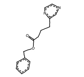 O=C(CCCc1cnccn1)OCc1ccccc1